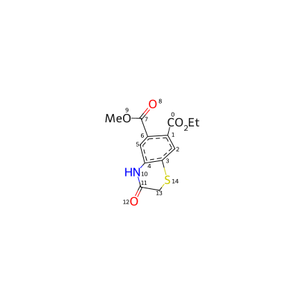 CCOC(=O)c1cc2c(cc1C(=O)OC)NC(=O)CS2